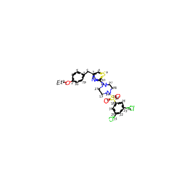 CCOc1ccc(Cc2csc(N3CCN(S(=O)(=O)c4cc(Cl)cc(Cl)c4)CC3)n2)cc1